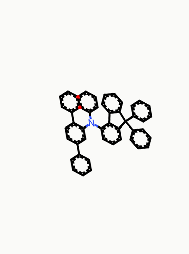 c1ccc(-c2ccc(-c3ccccc3)c(N(c3ccccc3)c3cccc4c3-c3ccccc3C4(c3ccccc3)c3ccccc3)c2)cc1